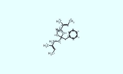 CC=C(C)[SiH2]OC(Cc1ccccc1)(O[SiH3])O[SiH2]C(C)=CC